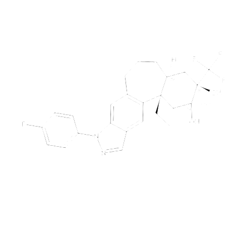 CC[C@]12C[C@](C)(O)[C@@](O)(C(F)(F)F)C[C@@H]1CCCc1cc3c(cnn3-c3ccc(F)cc3)cc12